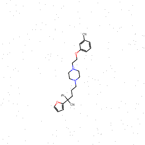 CC(C)C(C#N)(CCCN1CCN(CCOc2cccc(C#N)c2)CC1)c1ccco1